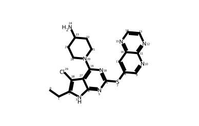 CCc1[nH]c2nc(Sc3cnc4nccnc4c3)nc(N3CCC(N)CC3)c2c1Cl